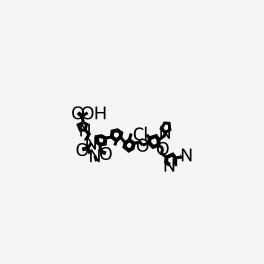 Cc1c(COc2cc(OCc3cncc(C#N)c3)c(CN3CCCC3)cc2Cl)cccc1-c1cccc(-c2ccc3c(c2)C(=O)N(C)CC(=O)N3CCN2CCC(C(=O)O)C2)c1C